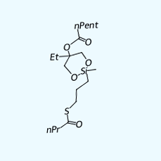 CCCCCC(=O)OC1(CC)CO[Si](C)(CCCSC(=O)CCC)OC1